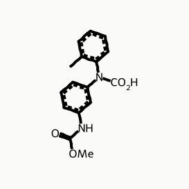 COC(=O)Nc1cccc(N(C(=O)O)c2ccccc2C)c1